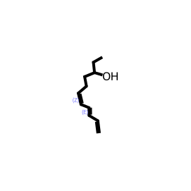 C=C/C=C/C=C\CCC(O)CC